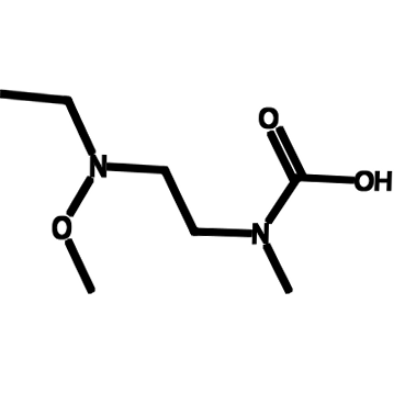 CCN(CCN(C)C(=O)O)OC